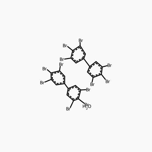 Brc1cc(-c2cc(Br)c(Br)c(Br)c2)cc(Br)c1Br.Brc1cc(-c2cc(Br)c(Br)c(Br)c2)cc(Br)c1Br.O